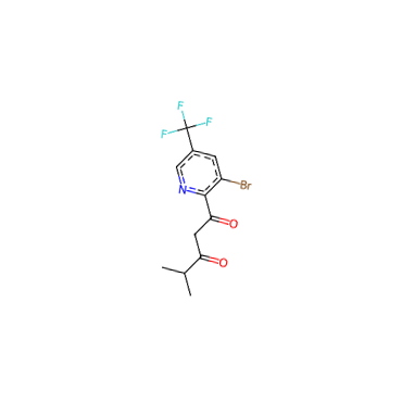 CC(C)C(=O)CC(=O)c1ncc(C(F)(F)F)cc1Br